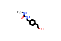 CNC(=O)NCc1ccc(CCO)cc1